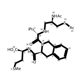 CSCC[C@H](NC(=O)[C@@H]1Cc2ccccc2CN1C(=O)[C@@H](NC[C@H](CSC(C)=O)NC(C)=O)C(C)C)C(=O)O